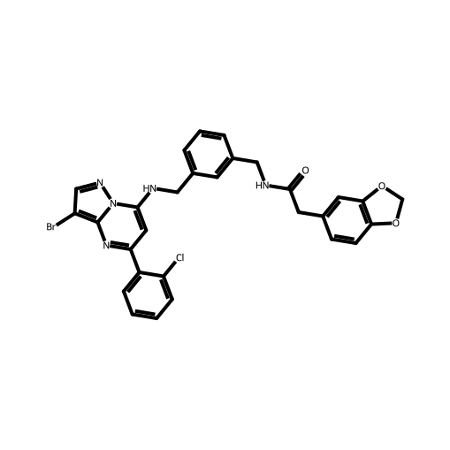 O=C(Cc1ccc2c(c1)OCO2)NCc1cccc(CNc2cc(-c3ccccc3Cl)nc3c(Br)cnn23)c1